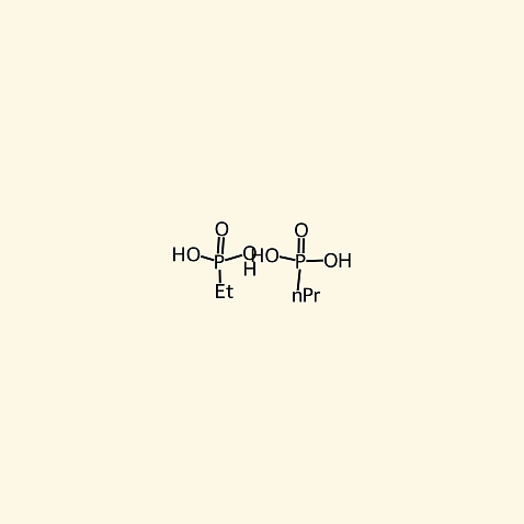 CCCP(=O)(O)O.CCP(=O)(O)O